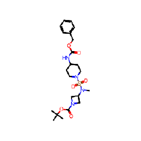 CN(C1CN(C(=O)OC(C)(C)C)C1)S(=O)(=O)N1CCC(NC(=O)OCc2ccccc2)CC1